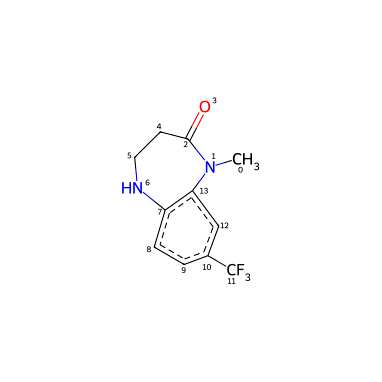 CN1C(=O)CCNc2ccc(C(F)(F)F)cc21